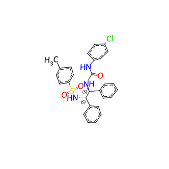 Cc1ccc(S(=O)(=O)N[C@@H](c2ccccc2)[C@@H](NC(=O)Nc2ccc(Cl)cc2)c2ccccc2)cc1